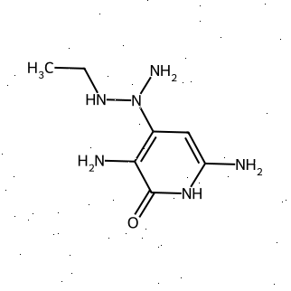 CCNN(N)c1cc(N)[nH]c(=O)c1N